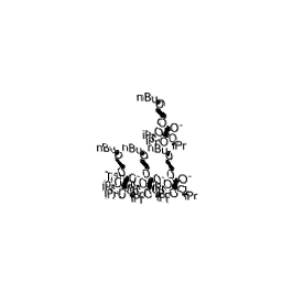 CCCCOCCOC([O-])C(OC(C)C)(OC(C)C)OC(C)C.CCCCOCCOC([O-])C(OC(C)C)(OC(C)C)OC(C)C.CCCCOCCOC([O-])C(OC(C)C)(OC(C)C)OC(C)C.CCCCOCCOC([O-])C(OC(C)C)(OC(C)C)OC(C)C.[Ti+4]